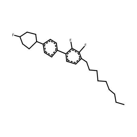 CCCCCCCCCc1ccc(-c2ccc(C3CCC(F)CC3)cc2)c(F)c1F